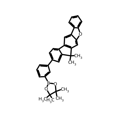 CC1(C)c2cc(-c3cccc(B4OC(C)(C)C(C)(C)O4)c3)ccc2-c2cc3c(cc21)oc1ccccc13